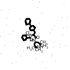 CC1(C)CC(NC(=O)C(Cc2ccc(-c3ccccc3)cc2)NC(=O)c2ccccc2Cl)CC(C)(C)N1